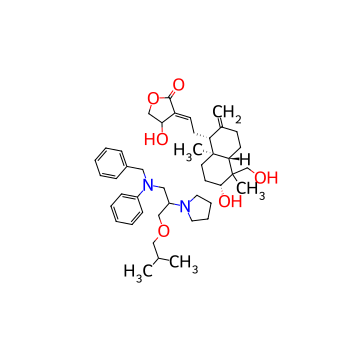 C=C1CC[C@@H]2C(C)(CO)[C@H](O)CC[C@@]2(C)[C@@H]1C/C=C1/C(=O)OCC1O.CC(C)COCC(CN(Cc1ccccc1)c1ccccc1)N1CCCC1